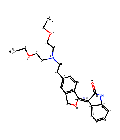 CCOCCN(CCOCC)CCc1ccc2c(c1)CO/C2=C1/C(=O)Nc2ccccc21